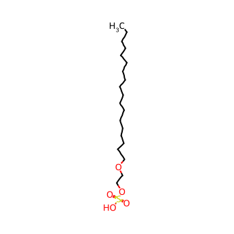 CCCCCCCCCCCCCCCCCCOCCOS(=O)(=O)O